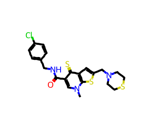 Cn1cc(C(=O)NCc2ccc(Cl)cc2)c(=S)c2cc(CN3CCSCC3)sc21